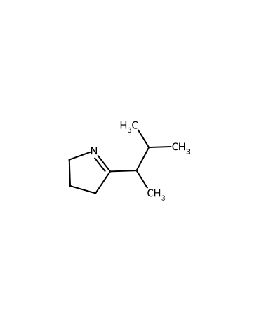 CC(C)C(C)C1=NCCC1